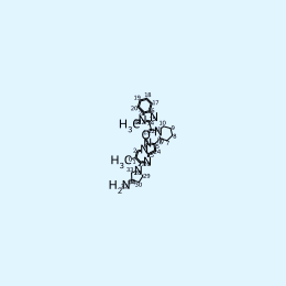 Cc1cn2nc([C@@H]3CCCCN3C(=O)c3nc4ccccc4n3C)cc2nc1N1CC[C@H](N)C1